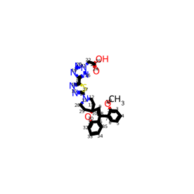 COc1ccccc1C1=CC2(CCN(c3nnc(-c4nnn(CC(=O)O)n4)s3)CC2)Oc2ccccc21